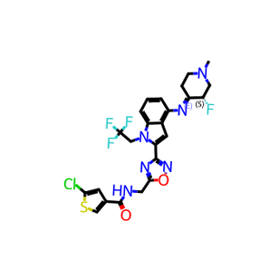 CN1CC/C(=N\c2cccc3c2cc(-c2noc(CNC(=O)c4csc(Cl)c4)n2)n3CC(F)(F)F)[C@@H](F)C1